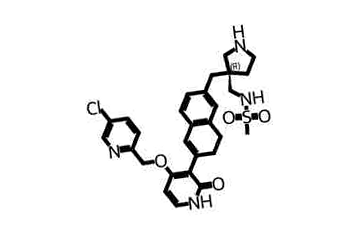 CS(=O)(=O)NC[C@]1(Cc2ccc3c(c2)CCC(c2c(OCc4ccc(Cl)cn4)cc[nH]c2=O)=C3)CCNC1